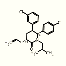 C=CC[C@@H]1CC(c2cccc(Cl)c2)[C@@H](c2ccc(Cl)cc2)N(CC(C)C)C1=O